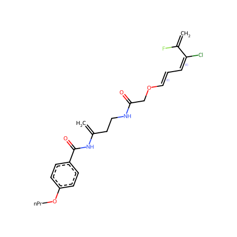 C=C(CCNC(=O)CO/C=C/C=C(/Cl)C(=C)F)NC(=O)c1ccc(OCCC)cc1